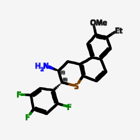 CCc1cc2ccc3c(c2cc1OC)C[C@H](N)[C@@H](c1cc(F)c(F)cc1F)S3